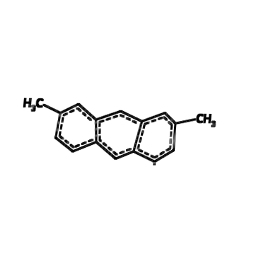 Cc1c[c]c2cc3ccc(C)cc3cc2c1